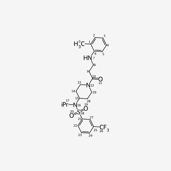 Cc1ccccc1NCCC(=O)N1CCC(N(C(C)C)S(=O)(=O)c2cccc(C(F)(F)F)c2)CC1